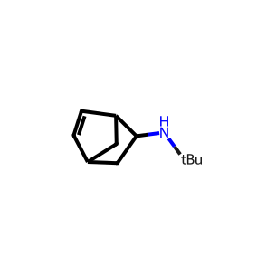 CC(C)(C)NC1CC2C=CC1C2